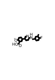 COc1ccc(-c2ccc(NCc3ccc(F)c(C)c3)nc2)cc1C(=O)O